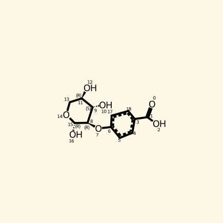 O=C(O)c1ccc(O[C@@H]2[C@@H](O)[C@H](O)CO[C@H]2O)cc1